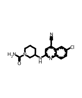 N#Cc1cc(NC2CCCN(C(N)=O)C2)nc2ccc(Cl)cc12